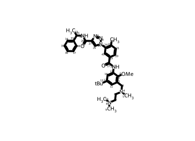 COc1c(CN(C)CCN(C)C)cc(C(C)(C)C)cc1NC(=O)c1ccc(C)c(-n2cc(C(=O)NC(C)c3ccccc3)nn2)c1